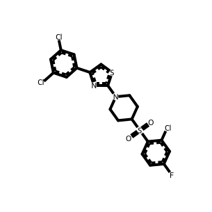 O=S(=O)(c1ccc(F)cc1Cl)C1CCN(c2nc(-c3cc(Cl)cc(Cl)c3)cs2)CC1